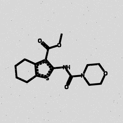 COC(=O)c1c(NC(=O)N2CCOCC2)sc2c1CCCC2